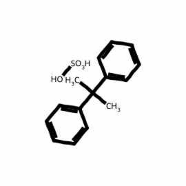 CC(C)(c1ccccc1)c1ccccc1.O=S(=O)(O)O